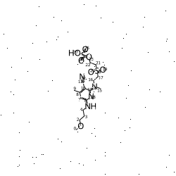 COCCCNc1cc(C)c(C#N)c(N(C)CCS(=O)(=O)CCOS(=O)(=O)O)n1